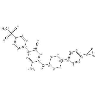 Bc1cn(-c2ccc(S(C)(=O)=O)cc2)c(=O)cc1OC1CCN(c2ncc(C3CC3)cn2)CC1